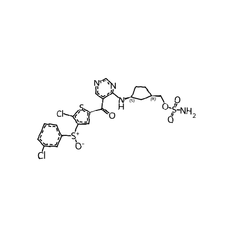 NS(=O)(=O)OC[C@@H]1CC[C@H](Nc2ncncc2C(=O)c2cc([S+]([O-])c3cccc(Cl)c3)c(Cl)s2)C1